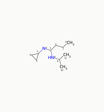 CCCC([N]C1CC1)NC(C)C